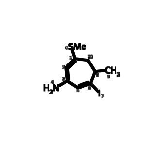 CSC1=C=C(N)C=C(I)C(C)C1